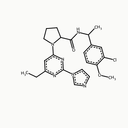 CCc1cc(N2CCCC2C(=O)NC(C)c2ccc(OC)c(Cl)c2)nc(-n2ccnc2)n1